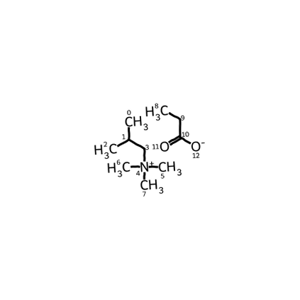 CC(C)C[N+](C)(C)C.CCC(=O)[O-]